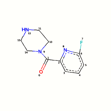 O=C(c1cccc(F)n1)N1CCNCC1